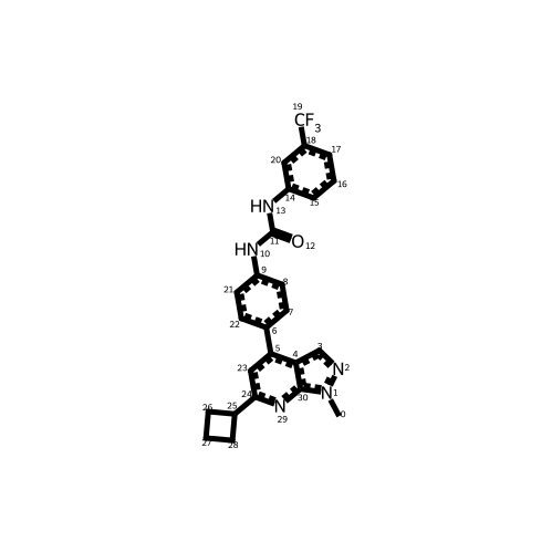 Cn1ncc2c(-c3ccc(NC(=O)Nc4cccc(C(F)(F)F)c4)cc3)cc(C3CCC3)nc21